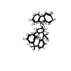 CC1(C)c2cccc3c2-n2c4c1cccc4c1cc(N4C5=C(CCC=C5)C5C=CC=CC54)cc(c12)C3(C)C